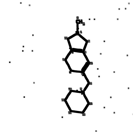 CN1CC2=C(CCC(CN3CCCCC3)=C2)C1